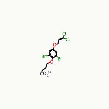 O=C(O)CCCOc1c(Br)cc(OCC=C(Cl)Cl)cc1Br